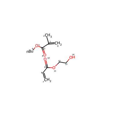 C=C(C)C(=O)OCCCC.C=CC(=O)OCCO